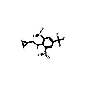 O=[N+]([O-])c1cc(C(F)(F)F)cc([N+](=O)[O-])c1NCC1CC1